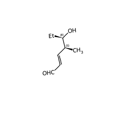 CC[C@@H](O)[C@@H](C)C=CC=O